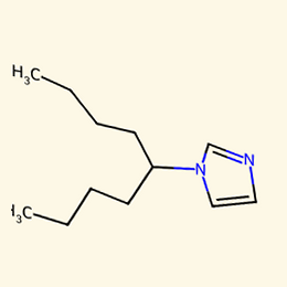 CCCCC(CCCC)n1ccnc1